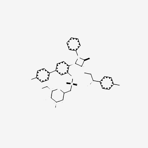 O=C1[C@H](CC[C@H](O)c2ccc(F)cc2)[C@@H](c2ccc(-c3ccc(O)cc3)cc2OS(=O)(=O)CC2O[C@H](CO)[C@@H](O)[C@H](O)[C@H]2O)N1c1ccccc1